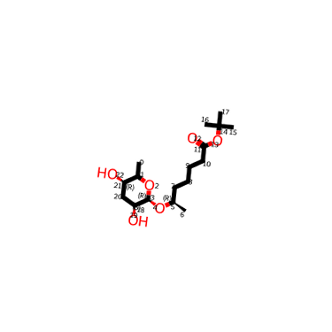 CC1O[C@@H](O[C@H](C)CCCCC(=O)OC(C)(C)C)[C@@H](O)C[C@H]1O